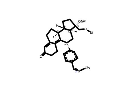 CCOC[C@]1(OC)CC[C@H]2[C@@H]3CCC4=CC(=O)CCC4=C3[C@@H](c3ccc(/C=N\O)cc3)C[C@@]21C